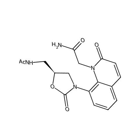 CC(=O)NC[C@H]1CN(c2cccc3ccc(=O)n(CC(N)=O)c23)C(=O)O1